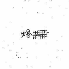 [CH2]CCNS(=O)(=O)CCC(F)(F)C(F)(F)C(F)(F)C(F)(F)C(F)(F)C(F)(F)F